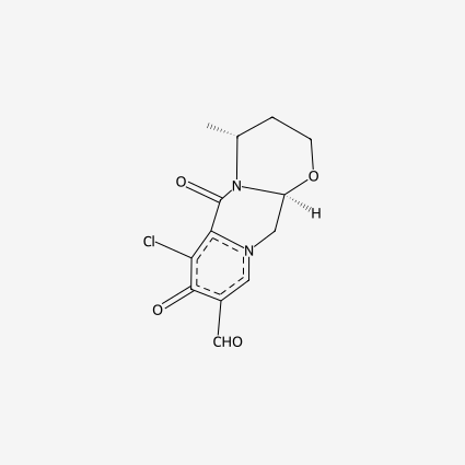 C[C@@H]1CCO[C@H]2Cn3cc(C=O)c(=O)c(Cl)c3C(=O)N12